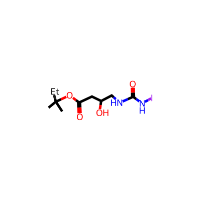 CCC(C)(C)OC(=O)CC(O)CNC(=O)NI